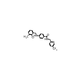 Cc1cccc(CNc2ccc(C(=O)NCc3ccc(C(F)(F)F)cn3)cc2)c1Cl